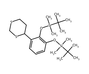 CC(C)(C)[Si](C)(C)Oc1cccc(C2CCSCS2)c1O[Si](C)(C)C(C)(C)C